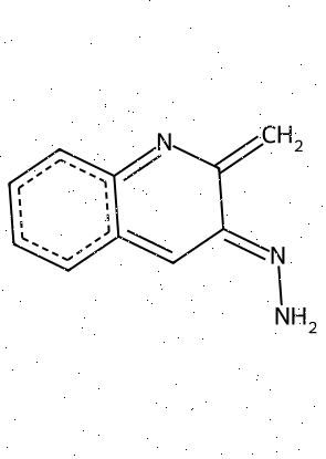 C=C1N=c2ccccc2=CC1=NN